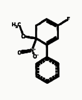 COC1([N+](=O)[O-])CC=C(F)C=C1c1ccccc1